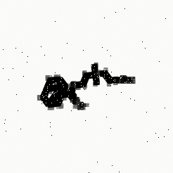 CCCCCCCCCCCC[N+](C)(C)CCOC(=O)C12CC3CC(CC(C3)C1)C2.[Br-]